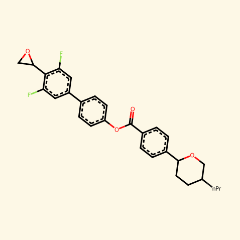 CCCC1CCC(c2ccc(C(=O)Oc3ccc(-c4cc(F)c(C5CO5)c(F)c4)cc3)cc2)OC1